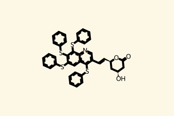 O=C1C[C@H](O)C[C@@H](/C=C/c2cnc3c(Sc4ccccc4)c(Sc4ccccc4)c(Sc4ccccc4)cc3c2Sc2ccccc2)O1